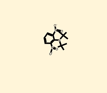 CC(C)(C)N(c1c([N+](=O)[O-])cccc1[N+](=O)[O-])C(C)(C)C